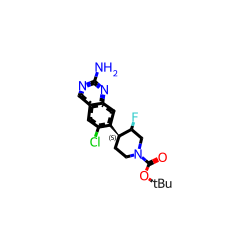 CC(C)(C)OC(=O)N1CC[C@@H](c2cc3nc(N)ncc3cc2Cl)C(F)C1